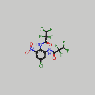 O=C(Nc1cc(Cl)cc([N+](=O)[O-])c1NC(=O)C(F)(F)C(F)F)C(F)(F)C(F)F